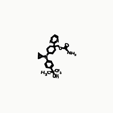 C[C@](O)(c1ccc(N(C2CC2)C2CCC(COC(N)=O)(c3ncccn3)CC2)cc1)C(F)(F)F